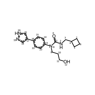 O=C(NCC1CCC1)N(CCCO)c1ccc(-c2cn[nH]c2)cc1